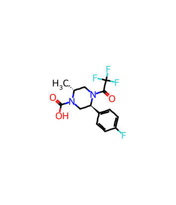 C[C@@H]1CN(C(=O)C(F)(F)F)[C@@H](c2ccc(F)cc2)CN1C(=O)O